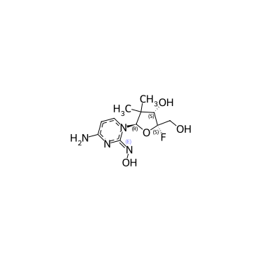 CC1(C)[C@H](n2ccc(N)n/c2=N\O)O[C@](F)(CO)[C@H]1O